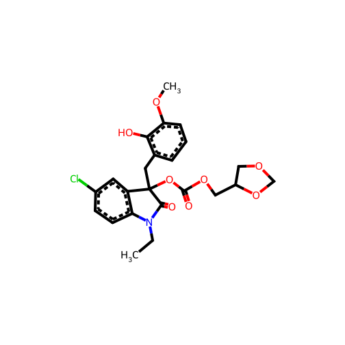 CCN1C(=O)C(Cc2cccc(OC)c2O)(OC(=O)OCC2COCO2)c2cc(Cl)ccc21